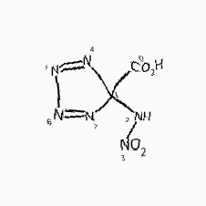 O=C(O)C1(N[N+](=O)[O-])N=NN=N1